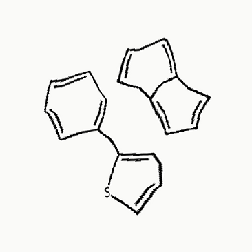 C1=CC2=CC=CC2=C1.c1ccc(-c2cccs2)cc1